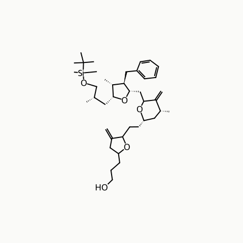 C=C1CC(CCCO)OC1CC[C@H]1C[C@@H](C)C(=C)C(C[C@@H]2O[C@H](C[C@H](C)CO[Si](C)(C)C(C)(C)C)[C@H](C)[C@H]2Cc2ccccc2)O1